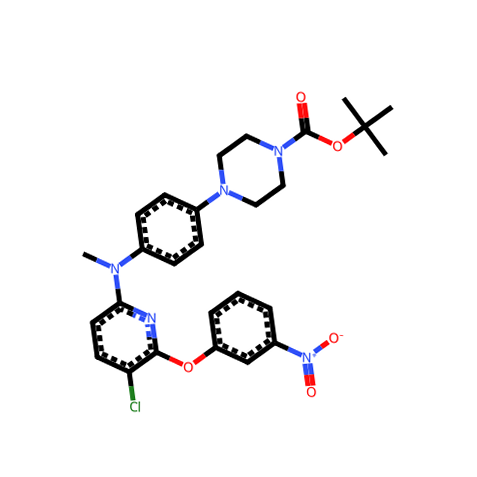 CN(c1ccc(N2CCN(C(=O)OC(C)(C)C)CC2)cc1)c1ccc(Cl)c(Oc2cccc([N+](=O)[O-])c2)n1